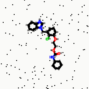 O=C(Nc1ccccc1)OCCOc1cccc(Cn2cnc3ccccc32)c1Cl